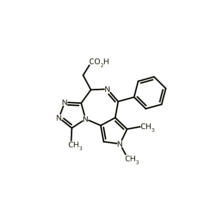 Cc1c2c(cn1C)-n1c(C)nnc1C(CC(=O)O)N=C2c1ccccc1